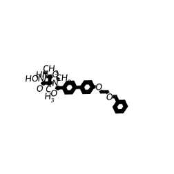 CNC(=O)C(C)(C(=O)NO)N(C)C(=O)c1ccc(-c2ccc(OCCOCc3ccccc3)cc2)cc1